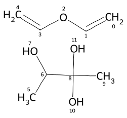 C=COC=C.CC(O)C(C)(O)O